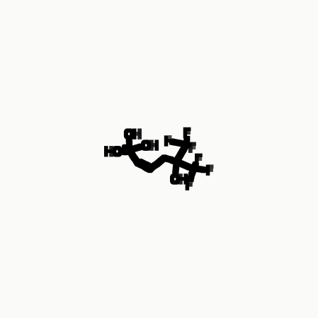 OC(C/C=C\[Si](O)(O)O)(C(F)(F)F)C(F)(F)F